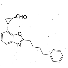 O=C[C@@H]1C[C@H]1c1cccc2nc(CCCCc3ccccc3)oc12